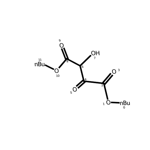 CCCCOC(=O)C(=O)C(O)C(=O)OCCCC